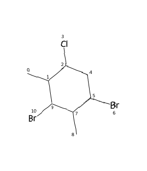 CC1C(Cl)CC(Br)C(C)C1Br